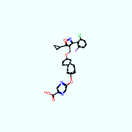 O=C(O)c1cnc(Oc2ccc3cc(OCc4c(-c5c(Cl)cccc5I)noc4C4CC4)ccc3c2)cn1